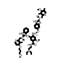 CCN(CC)CCNC(=O)c1cc(Cl)c(N)cc1OC.COCCCOc1ccnc(C[S+]([O-])c2nc3ccccc3[nH]2)c1C.COc1ccc2[nH]c([S+]([O-])Cc3ncc(C)c(OC)c3C)nc2c1